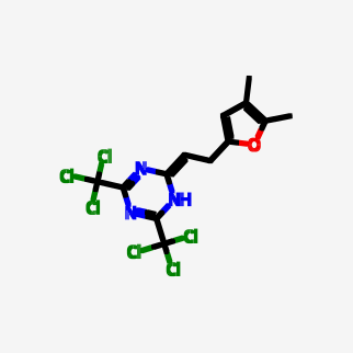 Cc1cc(C/C=C2/N=C(C(Cl)(Cl)Cl)N=C(C(Cl)(Cl)Cl)N2)oc1C